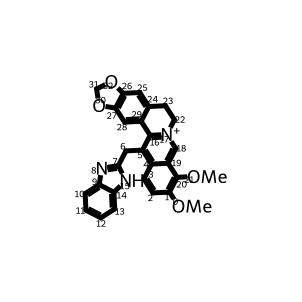 COc1ccc2c(Cc3nc4ccccc4[nH]3)c3[n+](cc2c1OC)CCc1cc2c(cc1-3)OCO2